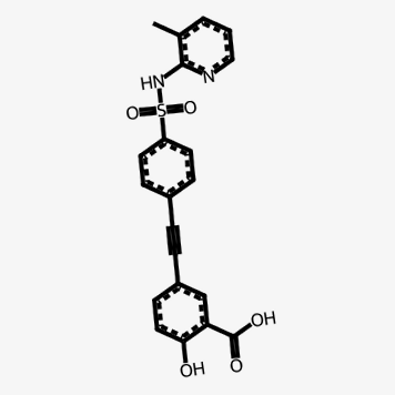 Cc1cccnc1NS(=O)(=O)c1ccc(C#Cc2ccc(O)c(C(=O)O)c2)cc1